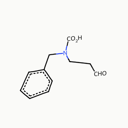 O=CCCN(Cc1ccccc1)C(=O)O